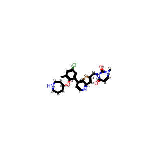 Cc1cc(Cl)cc(-c2ccnc3cc(Cn4c(=O)ccn(C)c4=O)sc23)c1O[C@H]1CCCNCC1